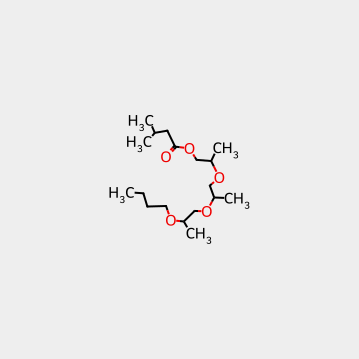 CCCCOC(C)COC(C)COC(C)COC(=O)CC(C)C